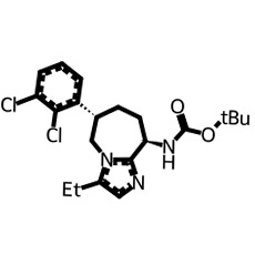 CCc1cnc2n1C[C@H](c1cccc(Cl)c1Cl)CC[C@H]2NC(=O)OC(C)(C)C